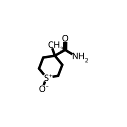 CC1(C(N)=O)CC[S+]([O-])CC1